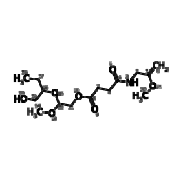 C=C(CNC(=O)CCC(=O)OCC(OC)OC(CC)CO)OC